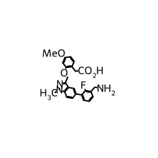 COc1ccc(CC(=O)O)c(OCc2nn(C)c3ccc(-c4cccc(CN)c4F)cc23)c1